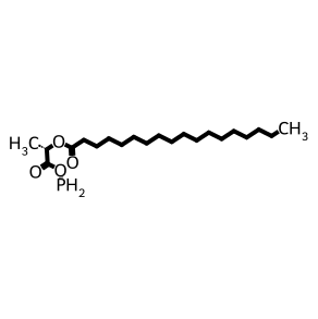 CCCCCCCCCCCCCCCCCC(=O)O[C@@H](C)C(=O)OP